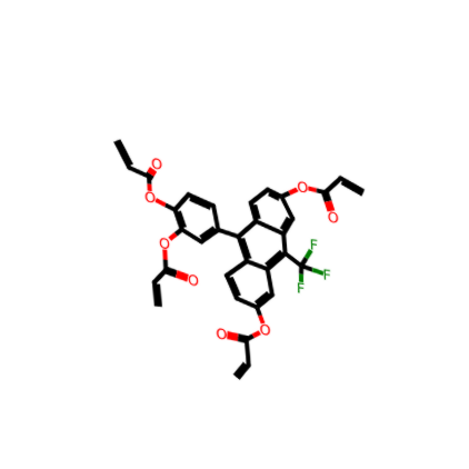 C=CC(=O)Oc1ccc2c(-c3ccc(OC(=O)C=C)c(OC(=O)C=C)c3)c3ccc(OC(=O)C=C)cc3c(C(F)(F)F)c2c1